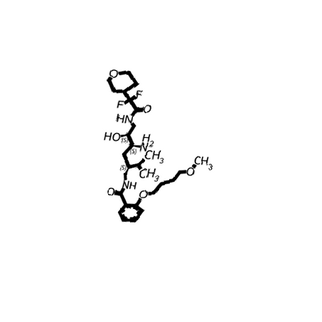 COCCCCOc1ccccc1C(=O)NC[C@@H](C[C@H](N)[C@@H](O)CNC(=O)C(F)(F)C1CCOCC1)C(C)C